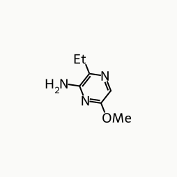 [CH2]Cc1ncc(OC)nc1N